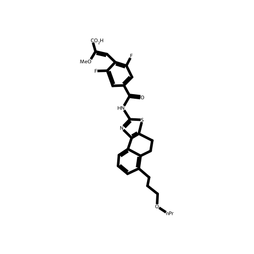 CCCOCCCc1cccc2c1CCc1sc(NC(=O)c3cc(F)c(/C=C(\OC)C(=O)O)c(F)c3)nc1-2